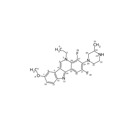 CCn1cc2c3cc(OC)ccc3nc-2c2cc(F)c(N3CCNC(C)C3)c(F)c21